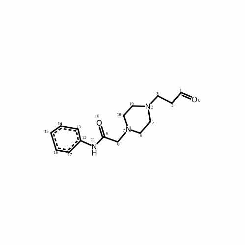 O=[C]CCN1CCN(CC(=O)Nc2ccccc2)CC1